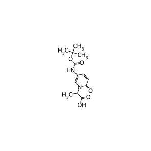 CC(C(=O)O)n1cc(NC(=O)OC(C)(C)C)ccc1=O